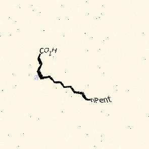 CCCCCC=CCCCCCC/C=C\C=CC(=O)O